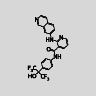 O=C(Nc1ccc(C(O)(C(F)(F)F)C(F)(F)F)cc1)c1cccnc1Nc1ccc2ccncc2c1